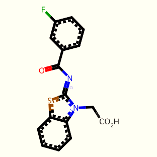 O=C(O)Cn1/c(=N/C(=O)c2cccc(F)c2)sc2ccccc21